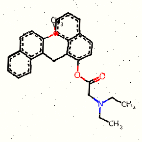 CCN(CC)CC(=O)Oc1ccc2ccccc2c1Cc1c(OC)ccc2ccccc12